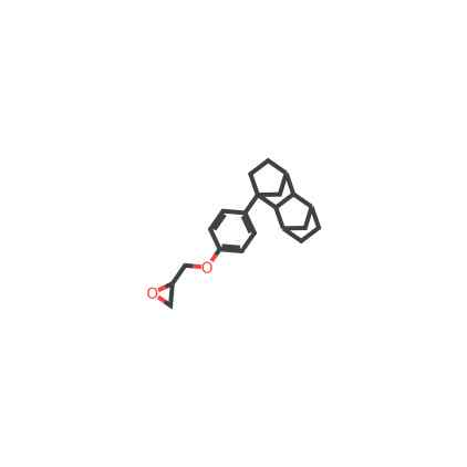 c1cc(C23CCC(C2)C2C4CCC(C4)C23)ccc1OCC1CO1